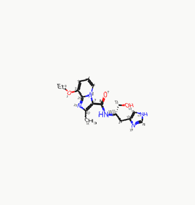 CCOc1cccn2c(C(=O)N[C@H](CO)Cc3c[nH]cn3)c(C)nc12